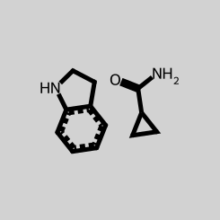 NC(=O)C1CC1.c1ccc2c(c1)CCN2